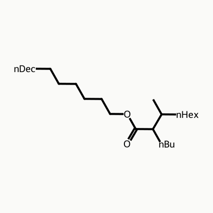 CCCCCCCCCCCCCCCCOC(=O)C(CCCC)C(C)CCCCCC